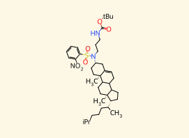 CC(C)CCCC(C)[C@H]1CCC2C3CC=C4C[C@@H](N(CCCNC(=O)OC(C)(C)C)S(=O)(=O)c5ccccc5[N+](=O)[O-])CC[C@]4(C)C3CC[C@@]21C